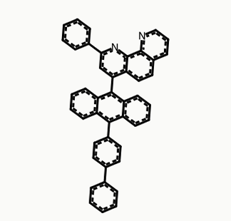 c1ccc(-c2ccc(-c3c4ccccc4c(-c4cc(-c5ccccc5)nc5c4ccc4cccnc45)c4ccccc34)cc2)cc1